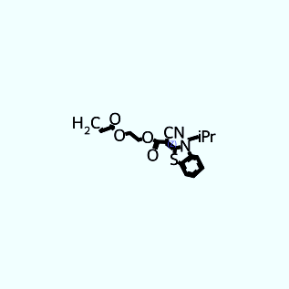 C=CC(=O)OCCOC(=O)/C(C#N)=C1\Sc2ccccc2N1CC(C)C